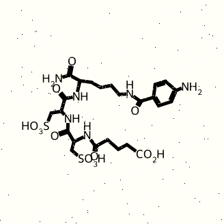 NC(=O)C(CCCCNC(=O)c1ccc(N)cc1)NC(=O)C(CS(=O)(=O)O)NC(=O)C(CS(=O)(=O)O)NC(=O)CCCC(=O)O